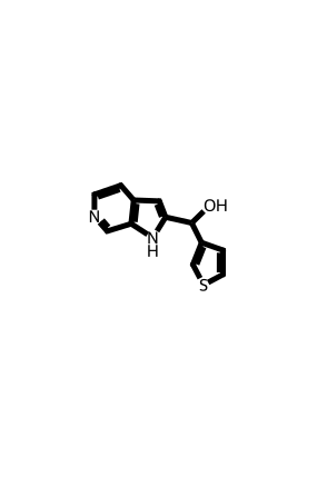 OC(c1ccsc1)c1cc2ccncc2[nH]1